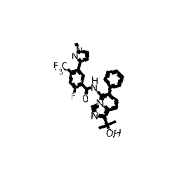 Cn1ccc(-c2cc(C(=O)Nc3c(-c4ccccc4)ccc4c(C(C)(C)O)ncn34)c(F)cc2C(F)(F)F)n1